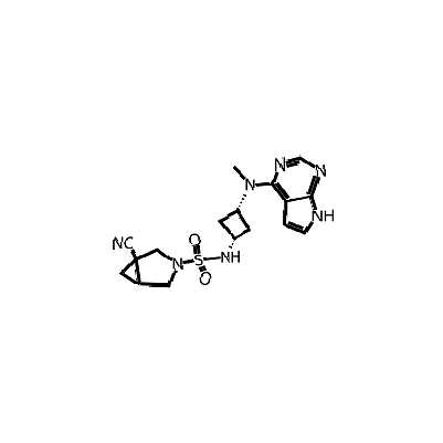 CN(c1ncnc2[nH]ccc12)[C@H]1C[C@@H](NS(=O)(=O)N2CC3CC3(C#N)C2)C1